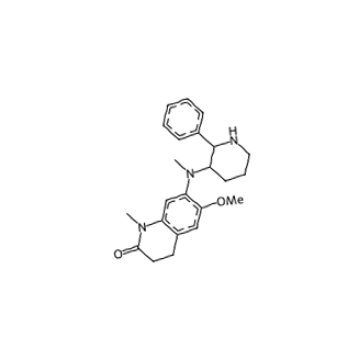 COc1cc2c(cc1N(C)C1CCCNC1c1ccccc1)N(C)C(=O)CC2